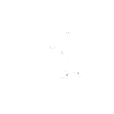 COCCN(C(=O)NCCCl)[C@@H]1OC[C@@H](O)[C@@H](O)[C@@H]1O